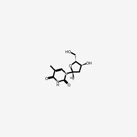 Cc1cn([C@@]2([18F])C[C@H](O)[C@@H](CO)O2)c(=O)[nH]c1=O